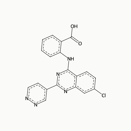 O=C(O)c1ccccc1Nc1nc(-c2ccnnc2)nc2cc(Cl)ccc12